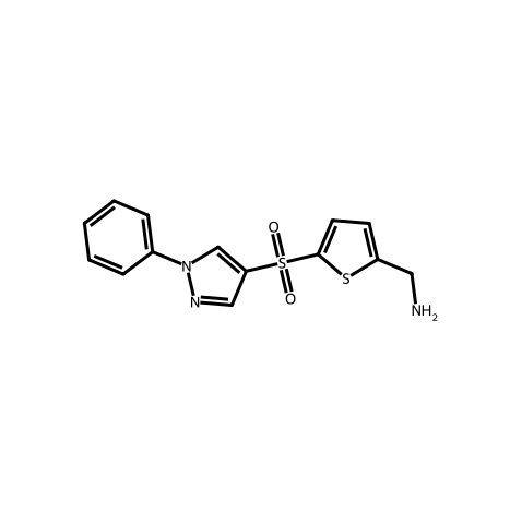 NCc1ccc(S(=O)(=O)c2cnn(-c3ccccc3)c2)s1